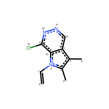 C=Cn1c(C)c(C)c2cnnc(Cl)c21